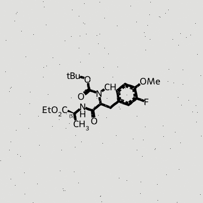 CCOC(=O)[C@H](C)NC(=O)C(Cc1ccc(OC)c(F)c1)N(C)C(=O)OC(C)(C)C